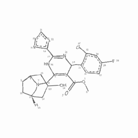 COC(=O)C1=C(CN2C3CC[C@H]2CC(O)C3)NC(c2nccs2)=NC1c1ccc(F)cc1Cl